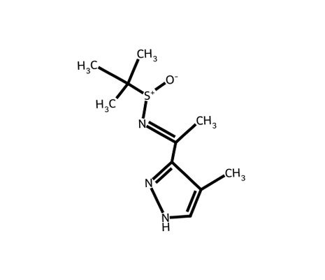 C/C(=N\[S+]([O-])C(C)(C)C)c1n[nH]cc1C